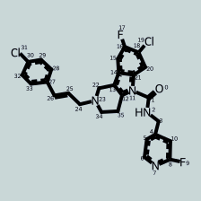 O=C(NCc1ccnc(F)c1)n1c2c(c3cc(F)c(Cl)cc31)CN(CC=Cc1ccc(Cl)cc1)CC2